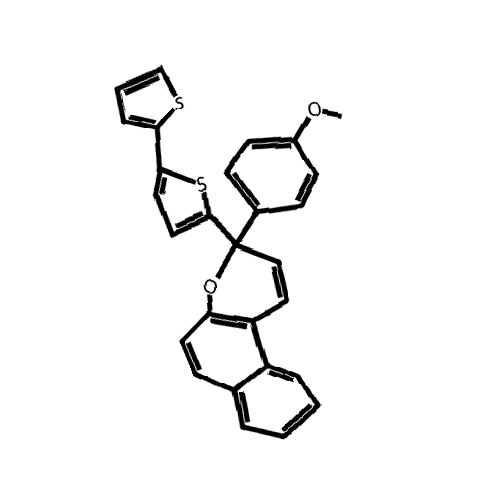 COc1ccc(C2(c3ccc(-c4cccs4)s3)C=Cc3c(ccc4ccccc34)O2)cc1